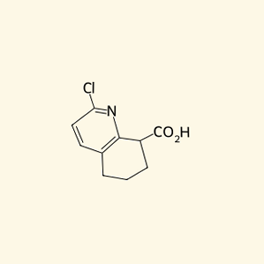 O=C(O)C1CCCc2ccc(Cl)nc21